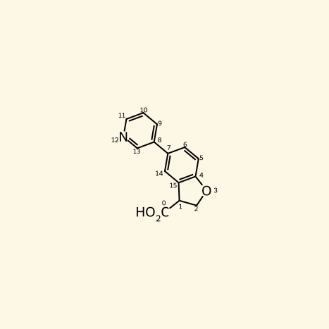 O=C(O)C1COc2ccc(-c3cccnc3)cc21